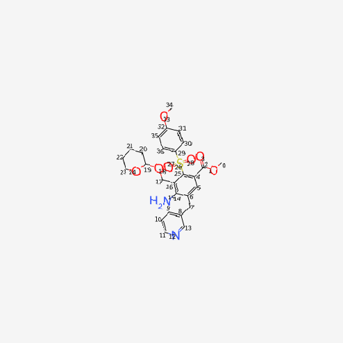 COC(=O)c1cc(Cc2cccnc2)c(N)c(COC2CCCCO2)c1S(=O)(=O)c1ccc(OC)cc1